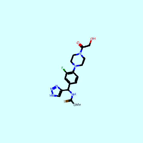 COC(=S)NC(c1ccc(N2CCN(C(=O)CO)CC2)c(F)c1)c1c[nH]nn1